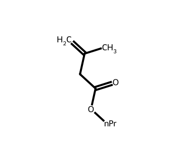 C=C(C)CC(=O)OCCC